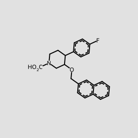 O=C(O)N1CCC(c2ccc(F)cc2)C(OCc2ccc3ccccc3c2)C1